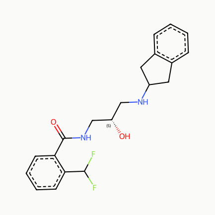 O=C(NC[C@@H](O)CNC1Cc2ccccc2C1)c1ccccc1C(F)F